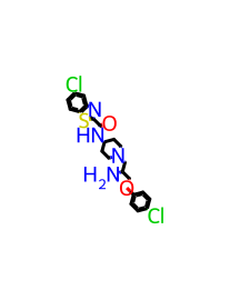 NC(COc1ccc(Cl)cc1)CN1CCC(NC(=O)c2nc3cc(Cl)ccc3s2)CC1